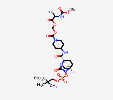 CCOC(=O)C(C)(C)COS(=O)(=O)ON1C(=O)N2C[C@H]1CC[C@H]2C(=O)NC1CCN(C(=O)OCOC(=O)C(NC(=O)OC(C)(C)C)C(C)C)CC1